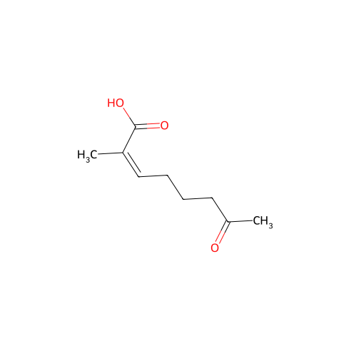 CC(=O)CCCC=C(C)C(=O)O